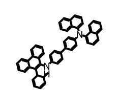 CC1C=CC=CC1c1c(Nc2ccc(-c3ccc(N(c4cccc5ccccc45)c4cccc5ccccc45)cc3)cc2)c2ccccc2c2ccccc12